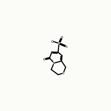 O=c1cc(S(=O)(=O)Cl)cc2n1CCOC2